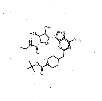 CCNC(=O)[C@H]1O[C@@H](n2cnc3c(N)nc(CC4CCN(C(=O)OC(C)(C)C)CC4)nc32)C(O)C1O